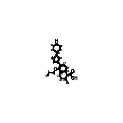 CCCOc1c(-c2cnn(C3CCNCC3)c2)ccc2c1CC[C@H](C)N2C(=O)O